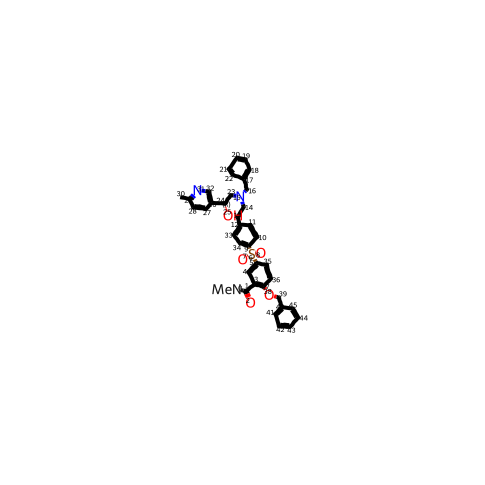 CNC(=O)c1cc(S(=O)(=O)c2ccc(CCN(Cc3ccccc3)C[C@H](O)c3ccc(C)nc3)cc2)ccc1OCc1ccccc1